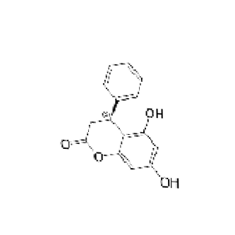 O=C1C[C@@H](c2ccccc2)c2c(O)cc(O)cc2O1